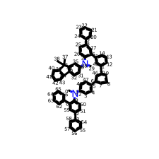 CN(c1ccc(-c2cccc(-c3cccc(-c4cc(-c5ccccc5)ccc4N(C)c4ccc5c(c4)C(C)(C)c4ccccc4-5)c3)c2)cc1)c1ccc(-c2ccccc2)cc1-c1ccccc1